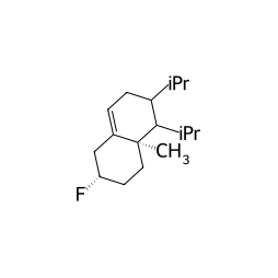 CC(C)C1CC=C2C[C@@H](F)CC[C@]2(C)C1C(C)C